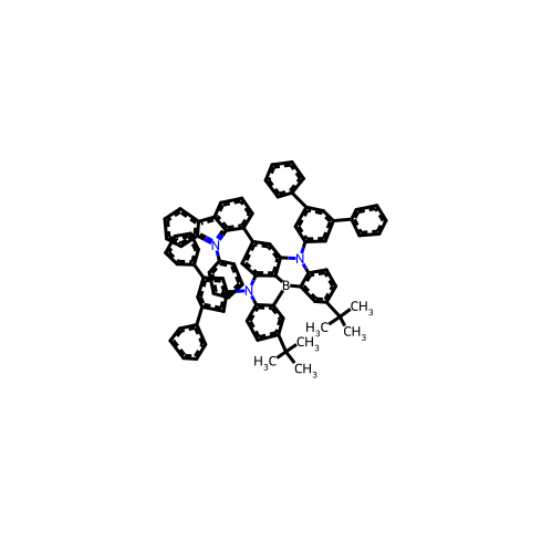 CC(C)(C)c1ccc2c(c1)B1c3cc(C(C)(C)C)ccc3N(c3cc(-c4ccccc4)cc(-c4ccccc4)c3)c3cc(-c4cccc5c6ccccc6n(-c6ccccc6)c45)cc(c31)N2c1cc(-c2ccccc2)cc(-c2ccccc2)c1